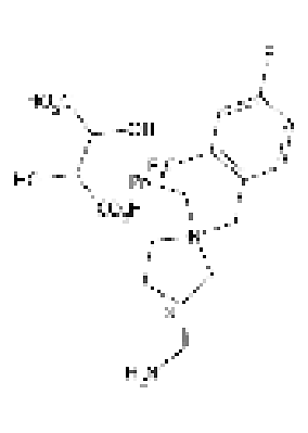 CC(C)C[N+]1(Cc2ccc(F)cc2C(F)(F)F)CC[C@@H](CN)C1.O=C(O)C(O)C(O)C(=O)O